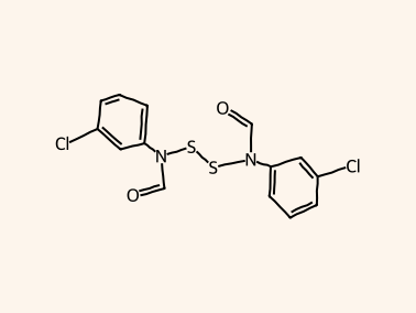 O=CN(SSN(C=O)c1cccc(Cl)c1)c1cccc(Cl)c1